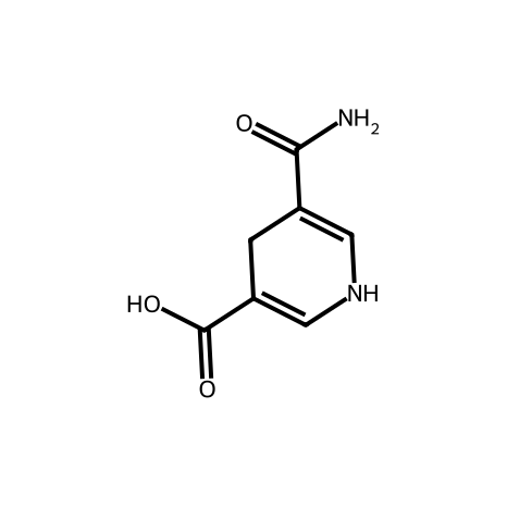 NC(=O)C1=CNC=C(C(=O)O)C1